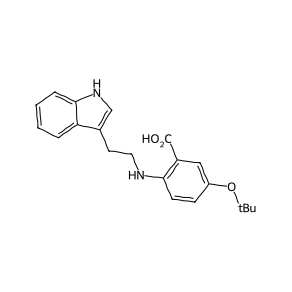 CC(C)(C)Oc1ccc(NCCc2c[nH]c3ccccc23)c(C(=O)O)c1